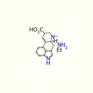 CCN.CN1C[C@H](C(=O)O)C=C2c3cccc4[nH]cc(c34)C[C@H]21